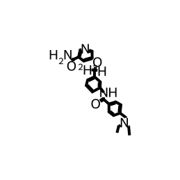 [2H]C([2H])(Oc1cncc(C(N)=O)c1)c1cccc(NC(=O)c2ccc(CN(CC)CC)cc2)c1